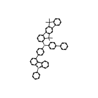 CC1(C)c2ccccc2-c2cc3c(cc21)-c1cccc(N(c2ccc(-c4ccccc4)cc2)c2ccc(-c4cccc5c4c4ccccc4n5-c4ccccc4)cc2)c1C3(C)C